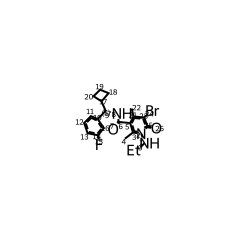 CCNn1c(C)c(C(=O)N[C@H](c2cccc(F)c2)C2CCC2)c(C)c(Br)c1=O